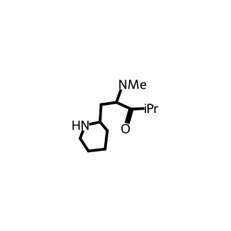 CNC(CC1CCCCN1)C(=O)C(C)C